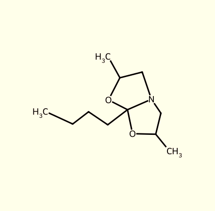 CCCCC12OC(C)CN1CC(C)O2